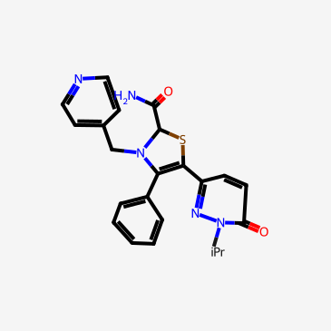 CC(C)n1nc(C2=C(c3ccccc3)N(Cc3ccncc3)C(C(N)=O)S2)ccc1=O